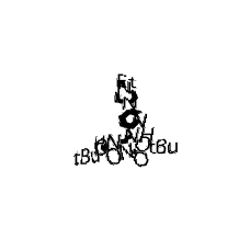 CCN1CCN(c2ccc(NC(=NC(=O)OC(C)(C)C)NC(=O)OC(C)(C)C)nc2)CC1